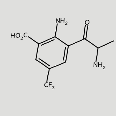 CC(N)C(=O)c1cc(C(F)(F)F)cc(C(=O)O)c1N